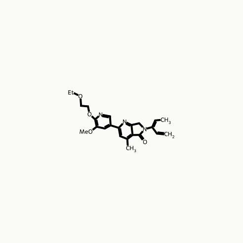 C=C/C(=C\C)N1Cc2nc(-c3cnc(OCCOCC)c(OC)c3)cc(C)c2C1=O